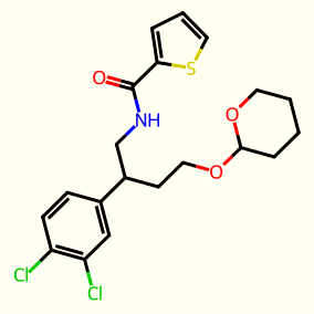 O=C(NCC(CCOC1CCCCO1)c1ccc(Cl)c(Cl)c1)c1cccs1